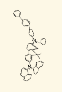 CC1(C)c2cc(N(c3ccccc3)c3ccc(-c4ccc(-c5ccccc5)cc4)cc3)ccc2-c2ccc(N(c3cccc4ccccc34)c3cccc4ccccc34)cc21